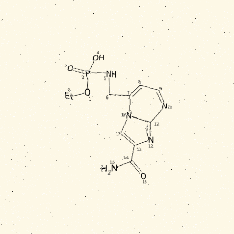 CCOP(=O)(O)NCc1ccnc2nc(C(N)=O)cn12